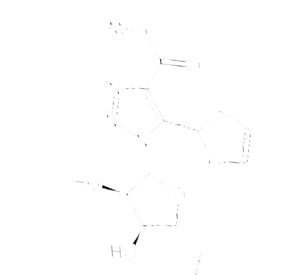 COC(=O)c1nnn([C@@H]2O[C@H](CO)[C@@H](O)[C@H]2O)c1-c1ccco1